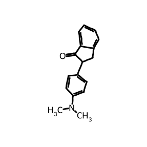 CN(C)c1ccc(C2Cc3ccccc3C2=O)cc1